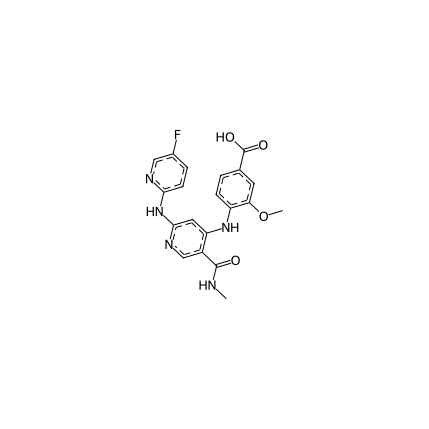 CNC(=O)c1cnc(Nc2ccc(F)cn2)cc1Nc1ccc(C(=O)O)cc1OC